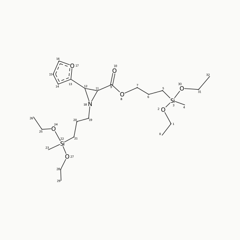 CCO[Si](C)(CCCOC(=O)C1C(c2ccco2)N1CCC[Si](C)(OCC)OCC)OCC